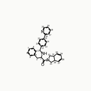 O=C(C(Cc1ccccc1)NCc1ccc(-c2ccccn2)cc1)N1CC2C=CC=CC2C1